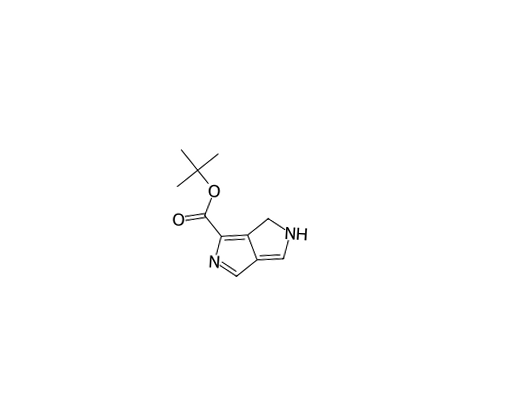 CC(C)(C)OC(=O)C1=C2CNC=C2C=N1